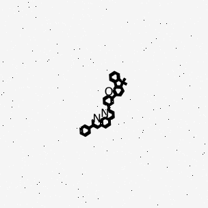 CC1(C)c2ccccc2-c2c1ccc1c2oc2ccc(-c3ccc4ccc5cc(-c6ccccc6)cnc5c4n3)cc21